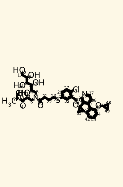 CN(C)C(=O)CCN(CC(O)C(O)C(O)C(O)CO)C(=O)CCCSc1ccc(Cl)c(COC2(c3cnccc3-c3ccccc3OC3CC3)CC2)c1